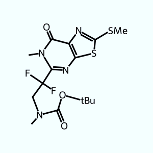 CSc1nc2c(=O)n(C)c(C(F)(F)CN(C)C(=O)OC(C)(C)C)nc2s1